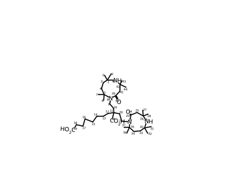 CC1(C)CCC(C)(C)N(CCC(CCCCCCCC(=O)O)(CCN2C(=O)CC(C)(C)NC(C)(C)CCC2(C)C)C(=O)O)C(=O)CC(C)(C)N1